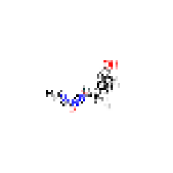 C[C@H](CCC(=O)N1CCN(C(=O)c2ccn(C)n2)CC1)[C@H]1CC[C@H]2[C@@H]3CC=C4C[C@@H](O)CC[C@]4(C)[C@H]3CC[C@]12C